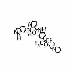 O=C(Nc1ccc(C(OCCN2CCCCC2)(C(F)(F)F)C(F)(F)F)cc1)c1cccnc1Nc1ccc2cn[nH]c2c1